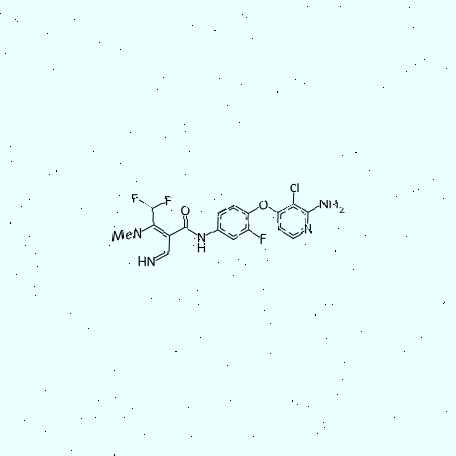 CN/C(=C(\C=N)C(=O)Nc1ccc(Oc2ccnc(N)c2Cl)c(F)c1)C(F)F